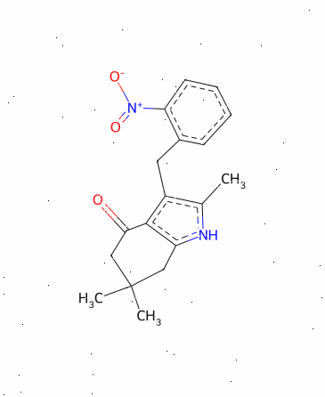 Cc1[nH]c2c(c1Cc1ccccc1[N+](=O)[O-])C(=O)CC(C)(C)C2